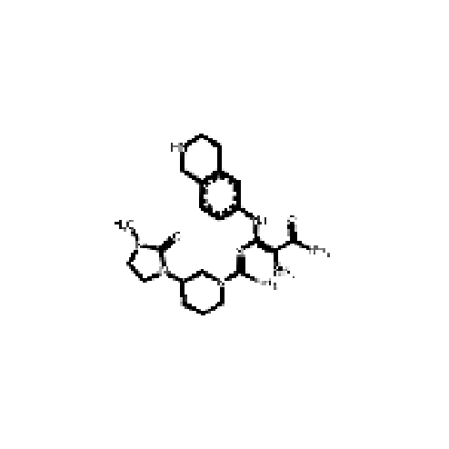 CN1CCN(C2CCCN(/C(N)=N/C(Nc3ccc4c(c3)CCNC4)=C(\N)C(N)=O)C2)C1=O